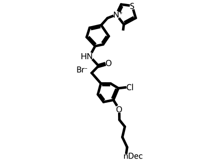 CCCCCCCCCCCCCCOc1ccc(CC(=O)Nc2ccc(C[n+]3cscc3C)cc2)cc1Cl.[Br-]